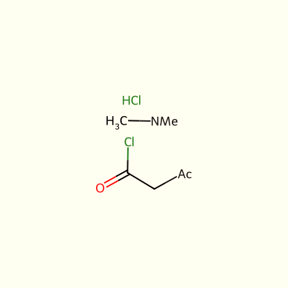 CC(=O)CC(=O)Cl.CNC.Cl